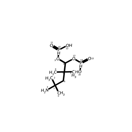 CC(C)(N)CC(C)(C)C(O[PH](=O)O)O[PH](=O)O